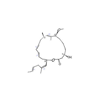 C/C=C/C/C(C)=C\[C@H]1C/C=C/C=C/C[C@@H](C)/C=C(\C)[C@@H](OC)CCC[C@@H](O)CC(=O)O1